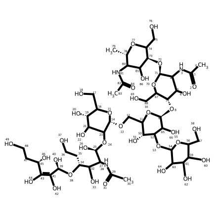 CC(=O)NC1C(O)[C@H](O[C@@H]2OC(CO[C@H]3OC(CO)[C@@H](O)C(O)C3O[C@H](O)C(NC(C)=O)C(O)[C@@H](CCO)O[C@H](O)/C(O)=C(/O)[C@@H](O)CCO)[C@@H](O)C(OC3OC(CO)C(O)C(O)C3O)C2O)C(CO)O[C@H]1O[C@@H]1C(CO)O[C@@H](C)C(NC(C)=O)C1O